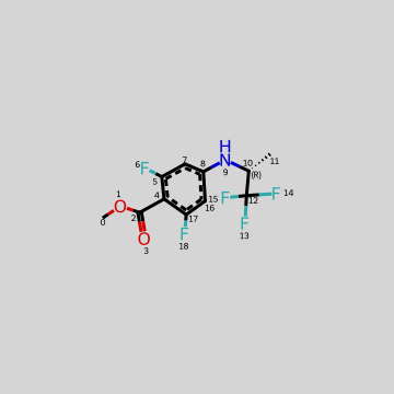 COC(=O)c1c(F)cc(N[C@H](C)C(F)(F)F)cc1F